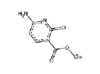 CC(C)(C)OC(=O)n1ccc(N)nc1=O